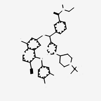 CCN(C)C(=O)c1cccc(C(Nc2cc(Cl)c3ncc(C#N)c(Nc4ccc(F)c(Cl)c4)c3c2)c2cn(C3CCN(C(C)(C)C)CC3)nn2)c1